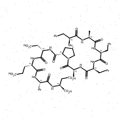 CC(C)C[C@H](NC(=O)[C@H](C)NC(=O)[C@@H](N)CC(C)C)C(=O)N[C@@H](CC(C)C)C(=O)N[C@@H](C)C(=O)N1CCC[C@H]1C(=O)N[C@@H](CC(=O)O)C(=O)N[C@@H](CCC(=O)O)C(=O)N[C@H](C(=O)N[C@@H](CC(=O)O)C(=O)O)C(C)C